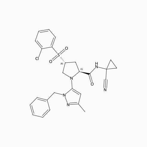 Cc1cc(N2C[C@H](S(=O)(=O)c3ccccc3Cl)C[C@H]2C(=O)NC2(C#N)CC2)n(Cc2ccccc2)n1